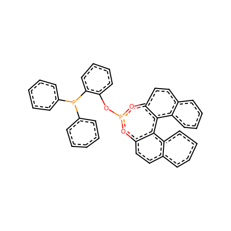 c1ccc(P(c2ccccc2)c2ccccc2Op2oc3ccc4ccccc4c3c3c(ccc4ccccc43)o2)cc1